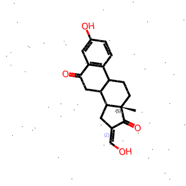 C[C@]12CCC3c4ccc(O)cc4C(=O)CC3C1C/C(=C/O)C2=O